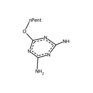 CCCCCOc1nc([NH])nc(N)n1